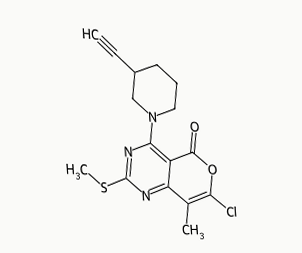 C#CC1CCCN(c2nc(SC)nc3c(C)c(Cl)oc(=O)c23)C1